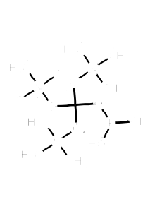 C[Si](C)(C)OC(OP(O)O)(O[Si](C)(C)C)O[Si](C)(C)C